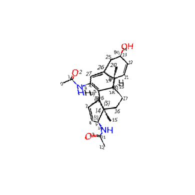 CC(=O)NC1=C2[C@@H]3C=C[C@H](NC(C)=O)[C@@]3(C)CC[C@@H]2[C@@]2(C)C=C[C@H](O)CC2=C1